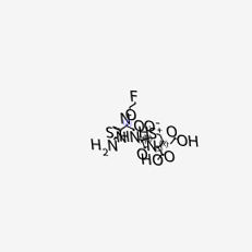 Nc1nc(/C(=N/OCCF)C(=O)N[C@@H]2C(=O)N3[C@H](C(=O)O)[C@@H](CC(=O)O)C[S+]([O-])[C@H]23)cs1